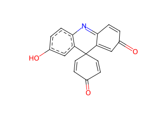 O=C1C=CC2(C=C1)C1=CC(=O)C=CC1=Nc1ccc(O)cc12